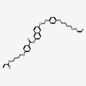 C=CC(=O)OCCCCOc1ccc(C(=O)Oc2ccc3cc(OCOc4ccc(OCCCCOO/C=C\C)cc4)ccc3c2)cc1